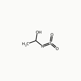 CC(O)N=S(=O)=O